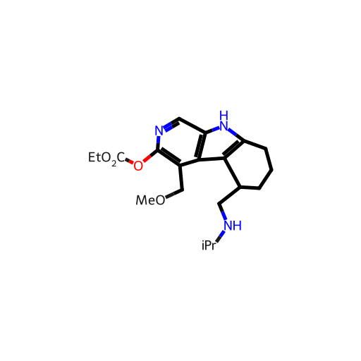 CCOC(=O)Oc1ncc2[nH]c3c(c2c1COC)C(CNC(C)C)CCC3